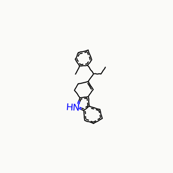 CCC(C1=Cc2c([nH]c3ccccc23)CC1)c1ccccc1C